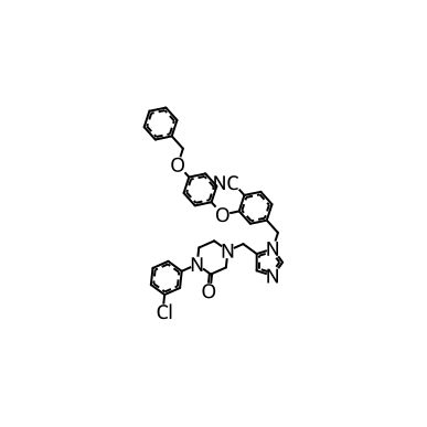 N#Cc1ccc(Cn2cncc2CN2CCN(c3cccc(Cl)c3)C(=O)C2)cc1Oc1ccc(OCc2ccccc2)cc1